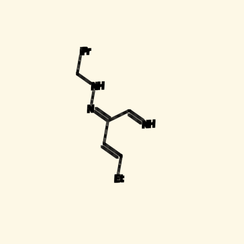 CCC=C/C(C=N)=N/NCC(C)C